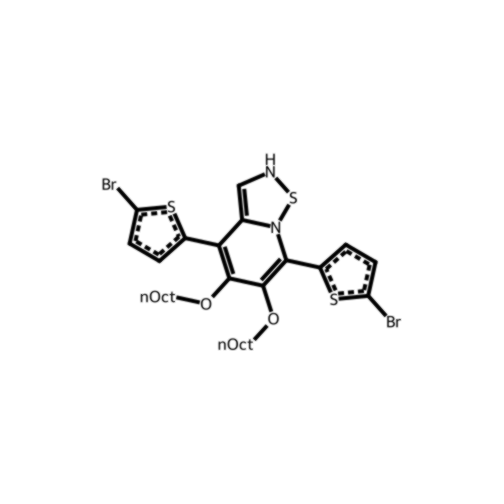 CCCCCCCCOC1=C(c2ccc(Br)s2)C2=CNSN2C(c2ccc(Br)s2)=C1OCCCCCCCC